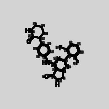 O=C1NCc2nc(-c3c(F)cccc3F)nc(Nc3ccc(C4CCCNC4=O)cc3)c21